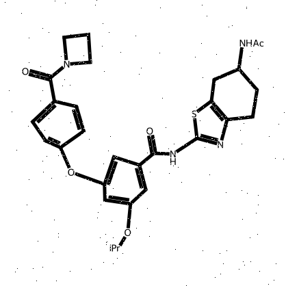 CC(=O)NC1CCc2nc(NC(=O)c3cc(Oc4ccc(C(=O)N5CCC5)cc4)cc(OC(C)C)c3)sc2C1